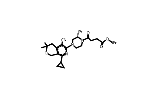 CC(C)OC(=O)CCC(=O)N1CCN(c2nc(C3CC3)c3c(c2C#N)CC(C)(C)OC3)C[C@H]1C(C)C